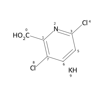 O=C(O)c1nc(Cl)ccc1Cl.[KH]